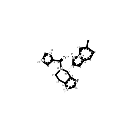 Cc1ccc2cc([C@@H]3c4nc[nH]c4CCN3C(=O)c3cnco3)nn2c1